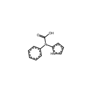 O=C(O)N(c1ccccc1)c1ccc[nH]1